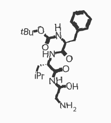 CC(C)C[C@H](NC(=O)[C@H](Cc1ccccc1)NC(=O)OC(C)(C)C)C(=O)NC(O)CN